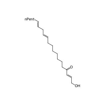 CCCCCC=CCC=CCCCCCCCC(=O)C=CCO